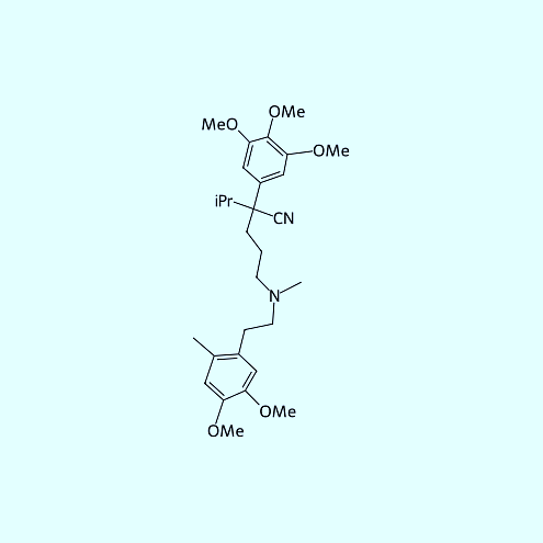 COc1cc(C)c(CCN(C)CCCC(C#N)(c2cc(OC)c(OC)c(OC)c2)C(C)C)cc1OC